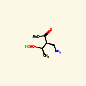 COC(=O)[C@@H](CN)[C@@H](C)O.Cl